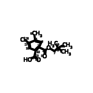 Cc1cc(C(=O)OCC(C)(C)C)c(C(=O)O)cc1Cl